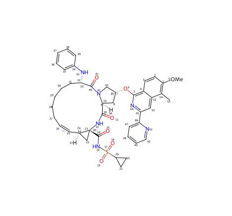 COc1ccc2c(O[C@@H]3C[C@H]4C(=O)N[C@]5(C(=O)NS(=O)(=O)C6CC6)C[C@H]5/C=C\CCCCC[C@H](Nc5ccccc5)C(=O)N4C3)nc(-c3ccccn3)cc2c1C